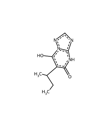 CCC(C)c1c(O)n2ncnc2[nH]c1=O